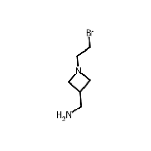 NCC1CN(CCBr)C1